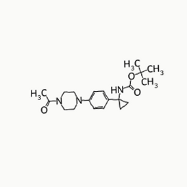 CC(=O)N1CCN(c2ccc(C3(NC(=O)OC(C)(C)C)CC3)cc2)CC1